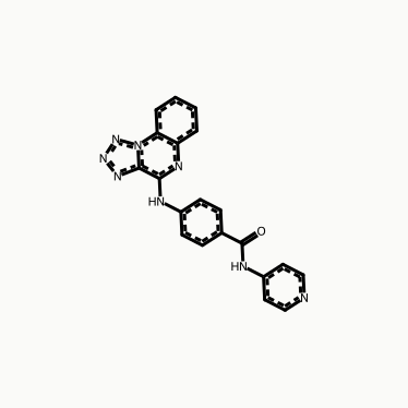 O=C(Nc1ccncc1)c1ccc(Nc2nc3ccccc3n3nnnc23)cc1